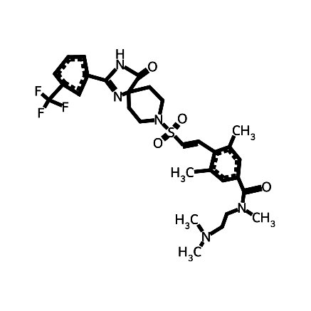 Cc1cc(C(=O)N(C)CCN(C)C)cc(C)c1C=CS(=O)(=O)N1CCC2(CC1)N=C(c1cccc(C(F)(F)F)c1)NC2=O